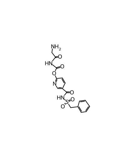 NCC(=O)NC(=O)Oc1ccc(C(=O)NS(=O)(=O)Cc2ccccc2)cn1